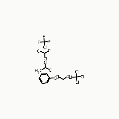 CC(Cl)Cl.ClC(Cl)(Cl)Cl.ClC(Cl)Cl.ClCCl.Clc1ccccc1.FC(F)(F)Cl